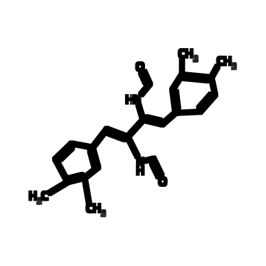 Cc1ccc(/C=C(NC=O)/C(=C/c2ccc(C)c(C)c2)NC=O)cc1C